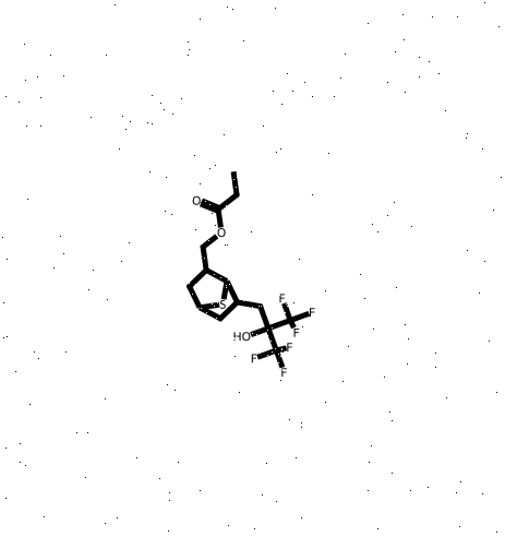 CCC(=O)OCC1CC2CC(CC(O)(C(F)(F)F)C(F)(F)F)C1S2